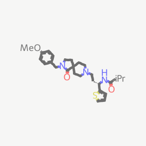 COc1ccc(CN2CCC3(CCN(CC[C@H](NC(=O)C(C)C)c4cccs4)CC3)C2=O)cc1